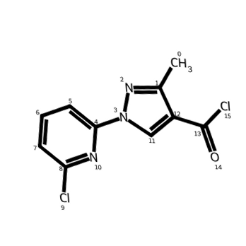 Cc1nn(-c2cccc(Cl)n2)cc1C(=O)Cl